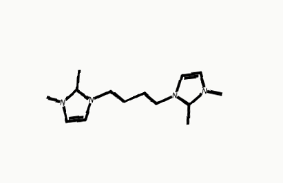 CC1N(C)C=CN1CCCCN1C=CN(C)C1C